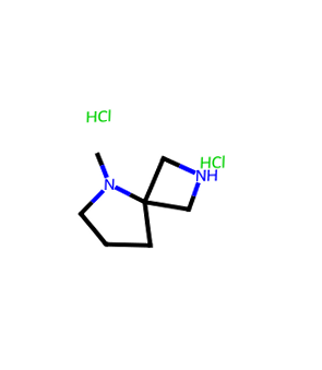 CN1CCCC12CNC2.Cl.Cl